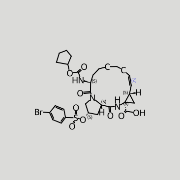 O=C(N[C@H]1CCCCC/C=C\[C@@H]2C[C@@]2(C(=O)O)NC(=O)[C@@H]2C[C@H](OS(=O)(=O)c3ccc(Br)cc3)CN2C1=O)OC1CCCC1